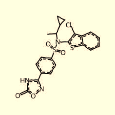 CC(C1CC1)N(c1sc2ccccc2c1Cl)S(=O)(=O)c1ccc(-c2noc(=O)[nH]2)cc1